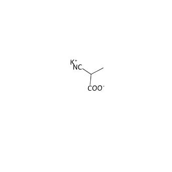 CC(C#N)C(=O)[O-].[K+]